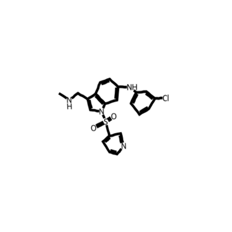 CNCc1cn(S(=O)(=O)c2cccnc2)c2cc(Nc3cccc(Cl)c3)ccc12